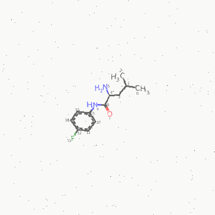 CC(C)C[C@H](N)C(=O)Nc1ccc(F)cc1